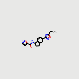 CCc1nc(-c2ccc3c(c2)CCC3NC(=O)c2ccno2)no1